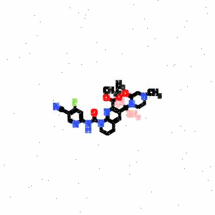 BC(B)(c1cc2c(nc1C(OC)OC)N(C(=O)Nc1cc(F)c(C#N)cn1)CCC2)N1CCN(C)CC1=O